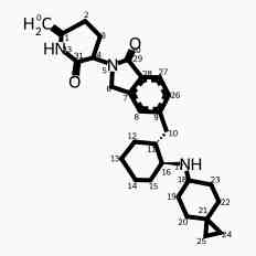 C=C1CCC(N2Cc3cc(C[C@H]4CCCC[C@@H]4NC4CCC5(CC4)CC5)ccc3C2=O)C(=O)N1